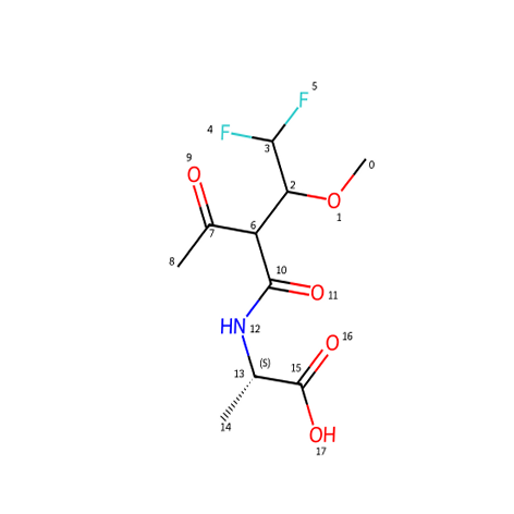 COC(C(F)F)C(C(C)=O)C(=O)N[C@@H](C)C(=O)O